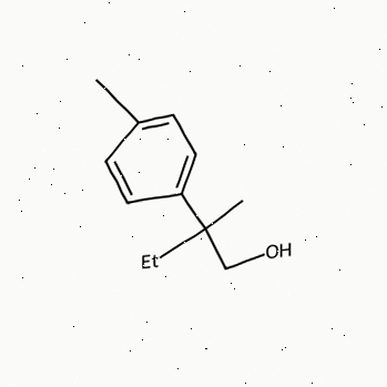 CCC(C)(CO)c1ccc(C)cc1